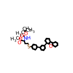 COC(=O)C(CCSc1ccc(-c2cccc(-c3cccc4c3oc3ccccc34)c2)cc1)NC(=O)OC(C)(C)C